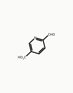 O=Cc1ccc(C(=O)O)cn1